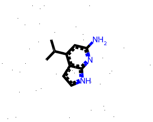 CC(C)c1cc(N)nc2[nH]ccc12